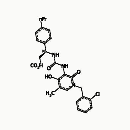 CCCc1ccc([C@H](CC(=O)O)NC(=O)Nc2c(O)c(C)cn(Cc3ccccc3Cl)c2=O)cc1